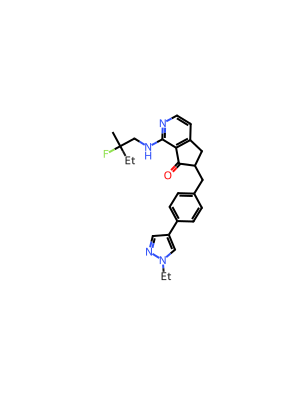 CCn1cc(-c2ccc(CC3Cc4ccnc(NCC(C)(F)CC)c4C3=O)cc2)cn1